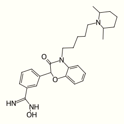 CC1CCCC(C)N1CCCCCN1C(=O)C(c2cccc(C(=N)NO)c2)Oc2ccccc21